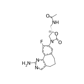 CC(=O)NC[C@H]1CN(c2cc3c(cc2F)-c2nc(N)ncc2CCC3)C(=O)O1